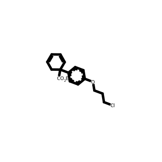 CCOC(=O)C1(c2ccc(OCCCCl)cc2)C=CC=CC1